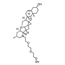 CCCOCCOCCOCCN1C[C@@H](C)C[C@H]2O[C@@]34CC[C@H]5[C@@H]6CC=C7C[C@@H](O)CC[C@]7(C)[C@H]6CC56CC63C[C@@H]4[C@@H]21